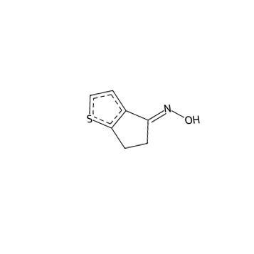 ON=C1CCc2sccc21